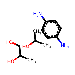 CC(C)O.CC(O)CO.Nc1ccc(N)cc1